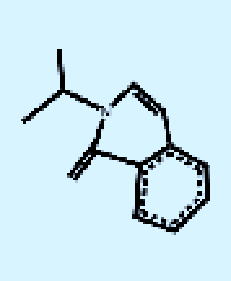 C=C1c2ccccc2C=CN1C(C)C